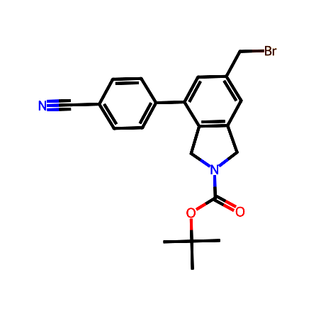 CC(C)(C)OC(=O)N1Cc2cc(CBr)cc(-c3ccc(C#N)cc3)c2C1